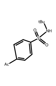 CC(=O)c1ccc(S(=O)(=O)NC(C)(C)C)cc1